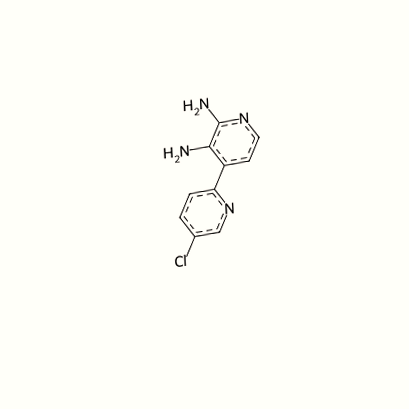 Nc1nccc(-c2ccc(Cl)cn2)c1N